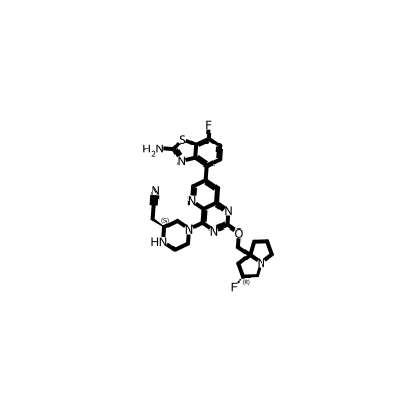 N#CC[C@H]1CN(c2nc(OCC34CCCN3C[C@H](F)C4)nc3cc(-c4ccc(F)c5sc(N)nc45)cnc23)CCN1